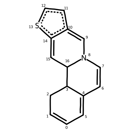 C1=CCC2C(=C1)C=CN1C=c3ccsc3=CC21